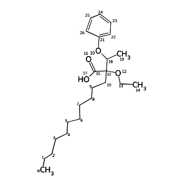 CCCCCCCCCCCC(OCC)(C(=O)O)C(C)Oc1ccccc1